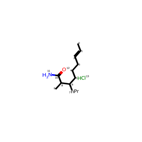 C/C=C/CCCC(CCC)C(C)C(N)=O.Cl